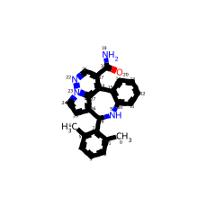 Cc1cccc(C)c1C1Nc2ccccc2-c2c(C(N)=O)cnn3ccc1c23